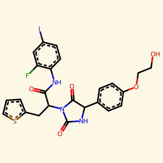 O=C(Nc1ccc(I)cc1F)C(Cc1cccs1)N1C(=O)NC(c2ccc(OCCO)cc2)C1=O